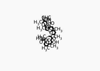 CCOC(=O)NC1C=C[C@]2(O[C@H](C(CC)C(=O)[C@@H](C)[C@@H](O)[C@H](C)[C@@H]3O[C@@H](C(CC)C(=O)O)CC[C@@H]3C)[C@@H](C)C[C@H]2C)O[C@@]12CC[C@@](C)([C@H]1CC[C@](O)(CC)[C@H](C)O1)O2